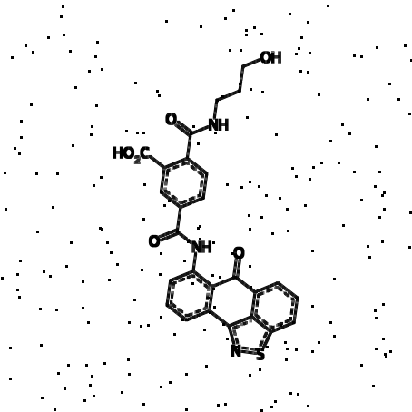 O=C(Nc1cccc2c1C(=O)c1cccc3snc-2c13)c1ccc(C(=O)NCCCO)c(C(=O)O)c1